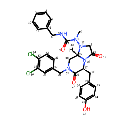 CN(C(=O)NCc1ccccc1)N1CC(=O)N2[C@@H](Cc3ccc(O)cc3)C(=O)N(Cc3ccc(Cl)c(Cl)c3)C[C@@H]21